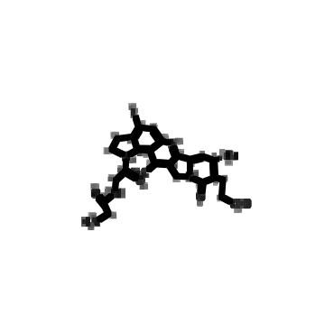 CC[C@@H](C)c1cc2n(c(=O)c1CCC=O)Cc1c-2nc2cc(F)c3c(c2c1C)N(C(=O)CNC(=O)CN)CC3